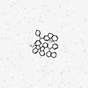 CC12C=CC(N(C3=CC4C(C)(C=C3)C3CCC=CC3C43C4=C(C(N(C5C=CC=CC5)C5CCCC6=C5C=CCC6)=CCC4)C4C=CCCC43)C3=CCCCC3)=CC1CCC1=C2CCC=C1